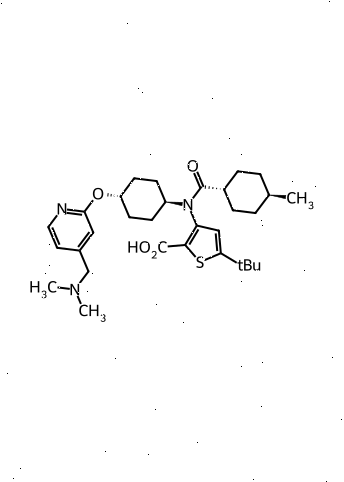 CN(C)Cc1ccnc(O[C@H]2CC[C@H](N(c3cc(C(C)(C)C)sc3C(=O)O)C(=O)[C@H]3CC[C@H](C)CC3)CC2)c1